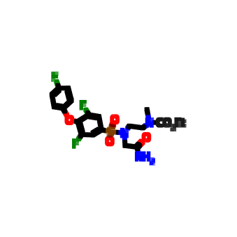 CCOC(=O)N(C)CCN(CC(N)=O)S(=O)(=O)c1cc(F)c(Oc2ccc(F)cc2)c(F)c1